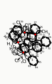 CCCC(N)(C[Si](Cl)(Cl)Cl)C(OC(C(N)(CCC)C[Si](Cl)(Cl)Cl)([Si](c1ccccc1)(c1ccccc1)C(C)(C)C)[Si](c1ccccc1)(c1ccccc1)C(C)(C)C)([Si](c1ccccc1)(c1ccccc1)C(C)(C)C)[Si](c1ccccc1)(c1ccccc1)C(C)(C)C